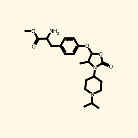 COC(=O)C(N)Cc1ccc(OC2OC(=O)N(C3CCN(C(C)C)CC3)C2C)cc1